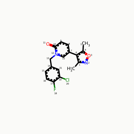 Cc1noc(C)c1-c1ccc(=O)n(Cc2ccc(F)c(Cl)c2)c1